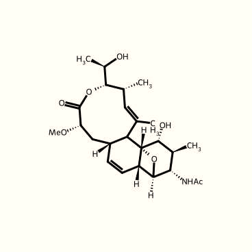 CO[C@H]1C[C@H]2C=C[C@H]3[C@H]4O[C@]2(/C(C)=C/[C@@H](C)[C@@H]([C@@H](C)O)OC1=O)[C@@H]3[C@H](O)[C@@H](C)[C@@H]4NC(C)=O